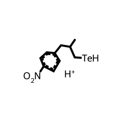 CC(C[TeH])Cc1ccc([N+](=O)[O-])cc1.[H+]